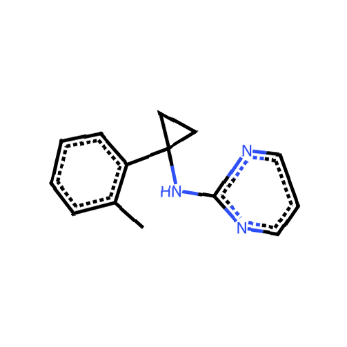 Cc1ccccc1C1(Nc2ncccn2)CC1